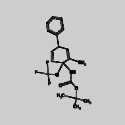 CC(C)(C)OC(=O)NC1(OC(F)(F)F)C=CC(c2ccccc2)C=C1N